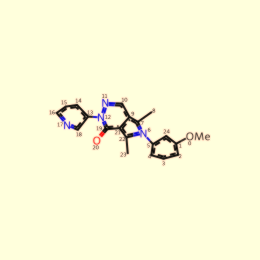 COc1cccc(-n2c(C)c3cnn(-c4cccnc4)c(=O)c3c2C)c1